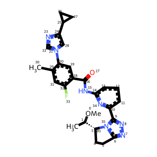 COC(C)[C@H]1CCc2nnc(-c3cccc(NC(=O)c4cc(-n5cnc(C6CC6)c5)c(C)cc4F)n3)n21